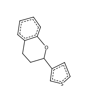 c1ccc2c(c1)CCC(c1ccsc1)O2